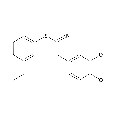 CCc1cccc(S/C(Cc2ccc(OC)c(OC)c2)=N\C)c1